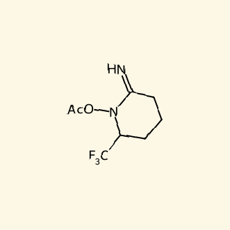 CC(=O)ON1C(=N)CCCC1C(F)(F)F